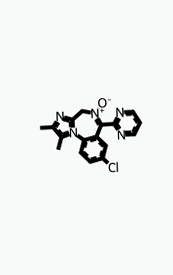 Cc1nc2n(c1C)-c1ccc(Cl)cc1C(c1ncccn1)=[N+]([O-])C2